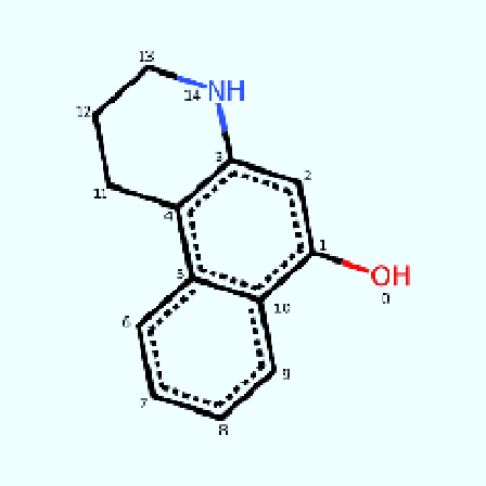 Oc1cc2c(c3ccccc13)CCCN2